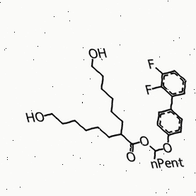 CCCCCC(OC(=O)C(CCCCCCO)CCCCCCO)Oc1ccc(-c2cccc(F)c2F)cc1